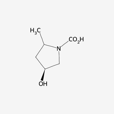 CC1C[C@H](O)CN1C(=O)O